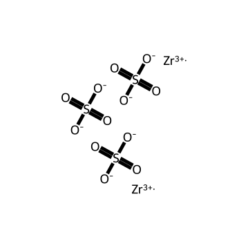 O=S(=O)([O-])[O-].O=S(=O)([O-])[O-].O=S(=O)([O-])[O-].[Zr+3].[Zr+3]